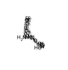 Nc1nc2c(c(N3CCN(CCOCC4CN(c5nsnc5O)C4)CC3)n1)CCc1cc(OCc3ccc(OC(F)(F)F)cc3)ccc1-2